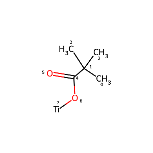 CC(C)(C)C(=O)[O][Ti]